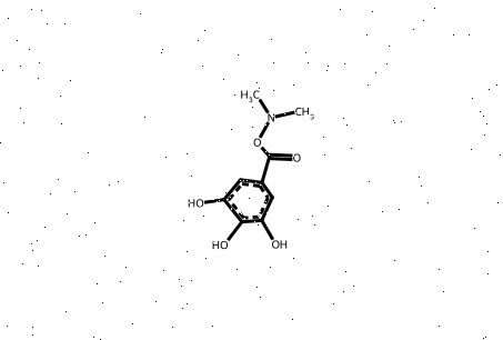 CN(C)OC(=O)c1cc(O)c(O)c(O)c1